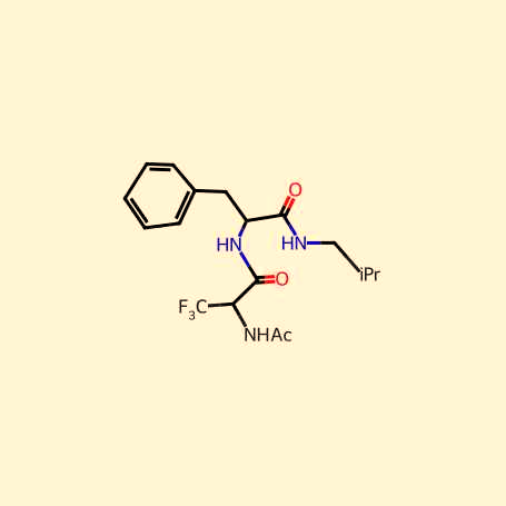 CC(=O)NC(C(=O)NC(Cc1ccccc1)C(=O)NCC(C)C)C(F)(F)F